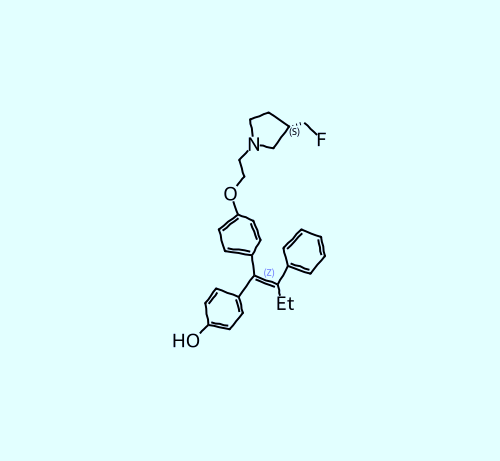 CC/C(=C(\c1ccc(O)cc1)c1ccc(OCCN2CC[C@H](CF)C2)cc1)c1ccccc1